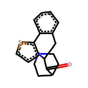 O=C1C2CCN(CC2)C1Cc1ccccc1-c1cccs1